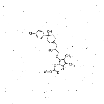 COC(=O)Oc1[nH]c(C)c(C)c1OCC(O)CN1CCC(O)(c2ccc(Cl)cc2)CC1